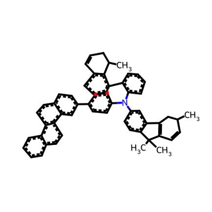 CC1C=CC2=C(C1)c1cc(N(c3ccc(-c4ccc5ccc6c7ccccc7ccc6c5c4)cc3)c3ccccc3-c3cccc4c3C(C)CC=C4)ccc1C2(C)C